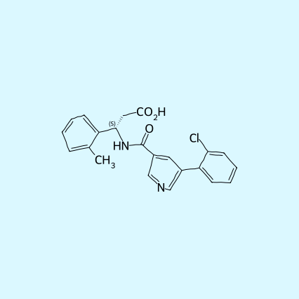 Cc1ccccc1[C@H](CC(=O)O)NC(=O)c1cncc(-c2ccccc2Cl)c1